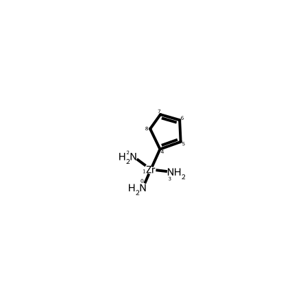 [NH2][Zr]([NH2])([NH2])[C]1=CC=CC1